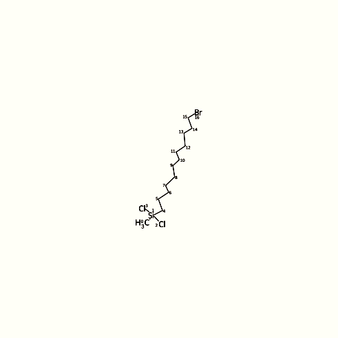 C[Si](Cl)(Cl)CCCCCCCCCCCCBr